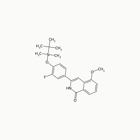 COc1cccc2c(=O)[nH]c(-c3ccc(O[Si](C)(C)C(C)(C)C)c(F)c3)cc12